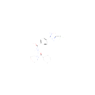 O=C(NC[C@H]1COCCN1C(=O)C1CCCCC1)c1ccc(-c2noc(C(F)(F)F)n2)cc1